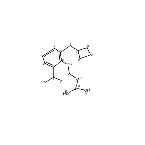 CC(C)c1cccc(CC2CCC2)c1OCOP(O)O